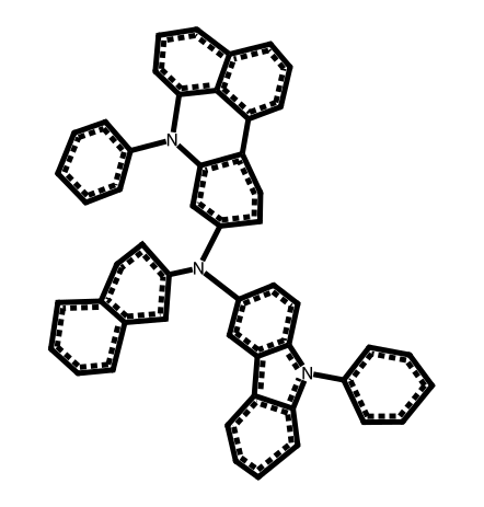 c1ccc(N2c3cc(N(c4ccc5ccccc5c4)c4ccc5c(c4)c4ccccc4n5-c4ccccc4)ccc3-c3cccc4cccc2c34)cc1